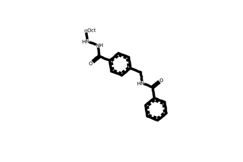 CCCCCCCCNNC(=O)c1ccc(CNC(=O)c2ccccc2)cc1